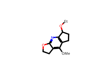 CCOC1CCc2c1nc1c(c2OC)CCO1